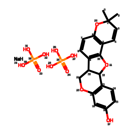 CC1(C)C=Cc2c(ccc3c2OC2c4ccc(O)cc4OCC32)O1.O=P(O)(O)O.O=P(O)(O)O.[NaH]